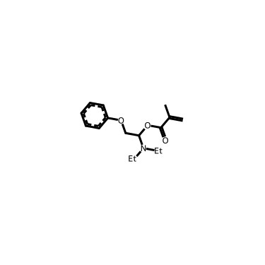 C=C(C)C(=O)OC(COc1ccccc1)N(CC)CC